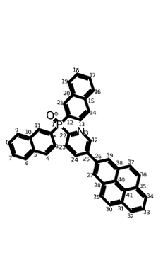 O=P(c1ccc2ccccc2c1)(c1ccc2ccccc2c1)c1ccc(-c2cc3ccc4cccc5ccc(c2)c3c45)cn1